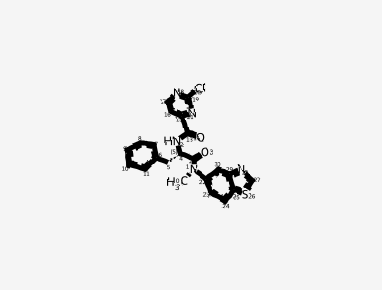 CN(C(=O)[C@H](Cc1ccccc1)NC(=O)c1ccnc(Cl)n1)c1ccc2scnc2c1